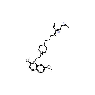 C=C/C(=C\C=C/C)SCCCC1CCN(CCn2c(=O)ccc3ccc(OC)cc32)CC1